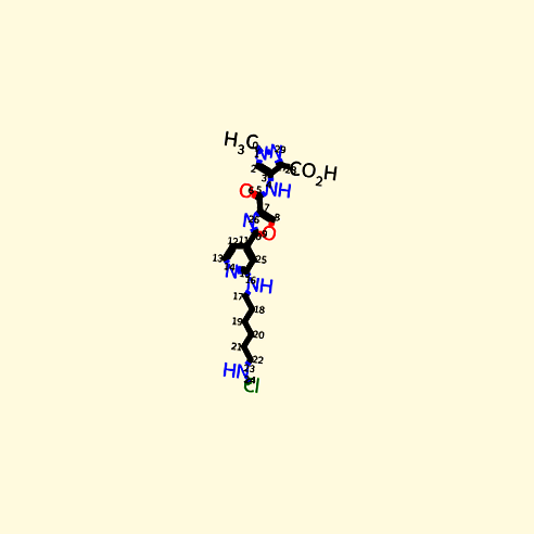 Cn1cc(NC(=O)c2coc(-c3ccnc(NCCCCCCNCl)c3)n2)c(C(=O)O)n1